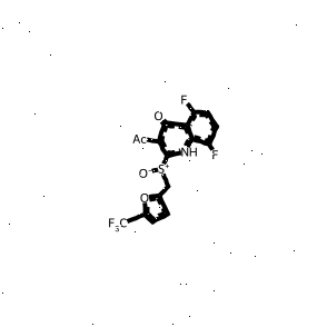 CC(=O)c1c([S+]([O-])Cc2ccc(C(F)(F)F)o2)[nH]c2c(F)ccc(F)c2c1=O